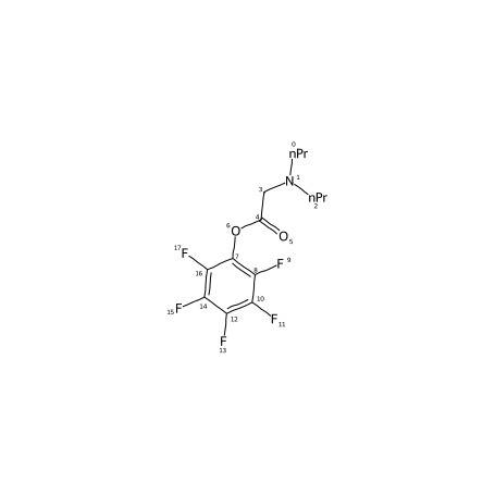 CCCN(CCC)CC(=O)Oc1c(F)c(F)c(F)c(F)c1F